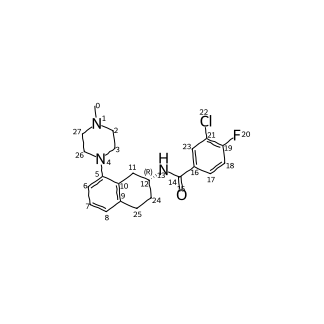 CN1CCN(c2cccc3c2C[C@H](NC(=O)c2ccc(F)c(Cl)c2)CC3)CC1